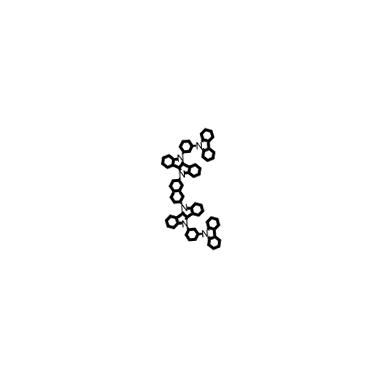 c1cc(-n2c3ccccc3c3ccccc32)cc(-n2c3ccccc3c3c2c2ccccc2n3-c2ccc3ccc(-n4c5ccccc5c5c4c4ccccc4n5-c4cccc(-n5c6ccccc6c6ccccc65)c4)cc3c2)c1